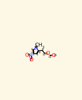 Cn1cc([N+](=O)[O-])cc1CCOC=O